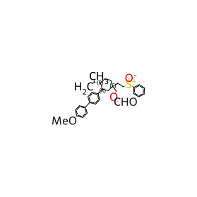 C=C(C)[C@@H]1CC[C@](CC[S+]([O-])c2ccccc2)(COC=O)C[C@H]1c1ccc(-c2ccc(OC)cc2)cc1